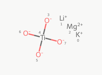 [K+].[Li+].[Mg+2].[O-][Ti]([O-])([O-])[O-]